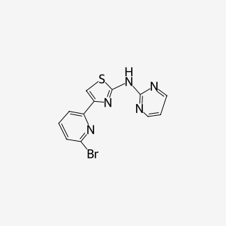 Brc1cccc(-c2csc(Nc3ncccn3)n2)n1